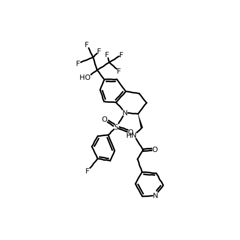 O=C(Cc1ccncc1)NC[C@@H]1CCc2cc(C(O)(C(F)(F)F)C(F)(F)F)ccc2N1S(=O)(=O)c1ccc(F)cc1